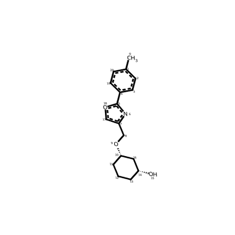 Cc1ccc(-c2nc(CO[C@H]3CCC[C@@H](O)C3)co2)cc1